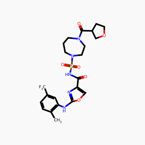 Cc1ccc(C(F)(F)F)cc1Nc1nc(C(=O)NS(=O)(=O)N2CCCN(C(=O)C3CCOC3)CC2)co1